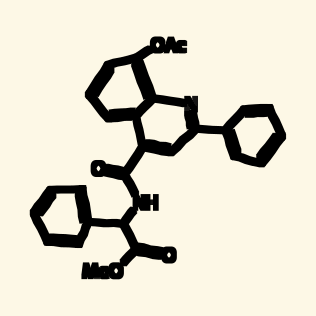 COC(=O)C(NC(=O)c1cc(-c2ccccc2)nc2c(OC(C)=O)cccc12)c1ccccc1